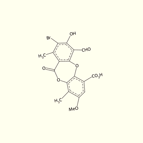 COc1cc(C(=O)O)c2c(c1C)OC(=O)c1c(C)c(Br)c(O)c(C=O)c1O2